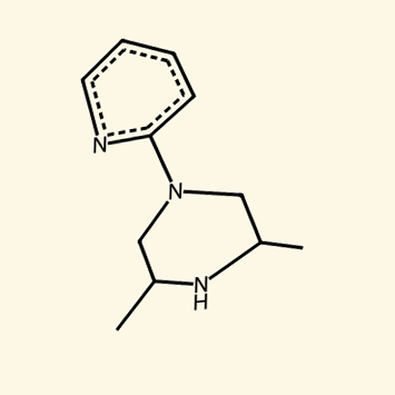 CC1CN(c2ccccn2)CC(C)N1